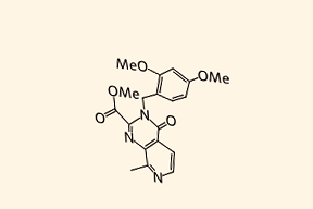 COC(=O)c1nc2c(C)nccc2c(=O)n1Cc1ccc(OC)cc1OC